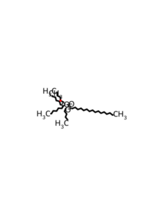 CCCCCCCCCCCCCCCCS(=O)(=O)OP(CCCCCC)(CCCCCC)(CCCCCC)CCCCCC